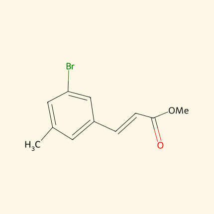 COC(=O)/C=C/c1cc(C)cc(Br)c1